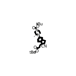 C[C@@H]1CN(C(=O)OC(C)(C)C)CCN1c1ccc2c(c1)CCC2(C#N)CCC(=O)OC(C)(C)C